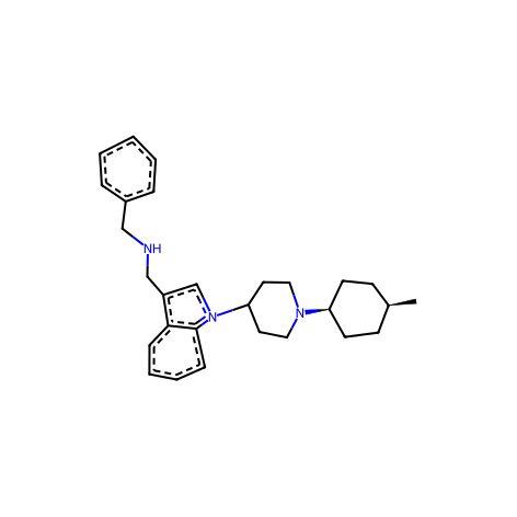 C[C@H]1CC[C@@H](N2CCC(n3cc(CNCc4ccccc4)c4ccccc43)CC2)CC1